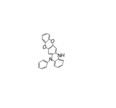 c1ccc(-n2c3ccccc3[nH]c3cc4oc5ccccc5oc4cc32)cc1